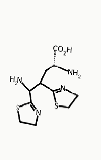 NC(C1=NCCS1)C(C[C@@H](N)C(=O)O)C1=NCCS1